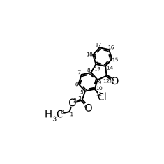 CCOC(=O)c1ccc2c(c1Cl)C(=O)c1ccccc1-2